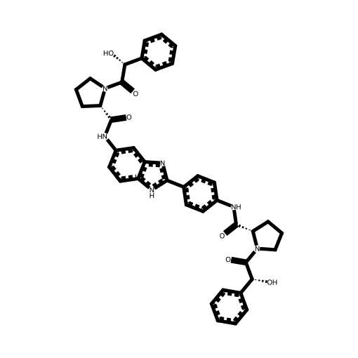 O=C(Nc1ccc(-c2nc3cc(NC(=O)[C@@H]4CCCN4C(=O)[C@H](O)c4ccccc4)ccc3[nH]2)cc1)[C@@H]1CCCN1C(=O)[C@H](O)c1ccccc1